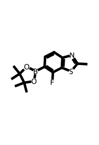 Cc1nc2ccc(B3OC(C)(C)C(C)(C)O3)c(F)c2s1